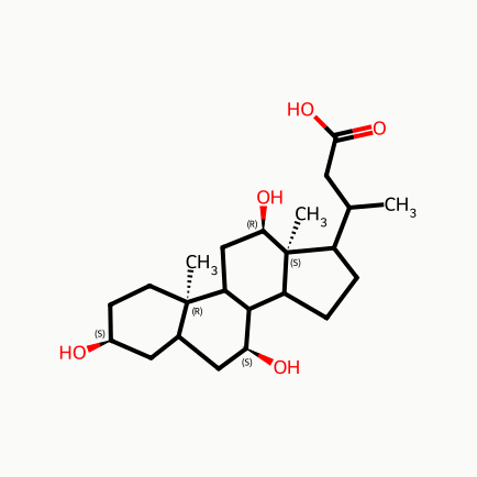 CC(CC(=O)O)C1CCC2C3C(C[C@@H](O)[C@@]12C)[C@]1(C)CC[C@H](O)CC1C[C@@H]3O